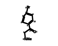 CNCC(=O)c1ccc(Br)cc1